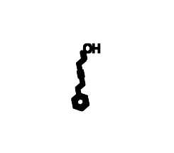 OC=CCC#CCCc1ccccc1